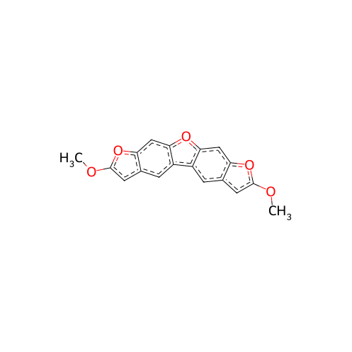 COc1cc2cc3c(cc2o1)oc1cc2oc(OC)cc2cc13